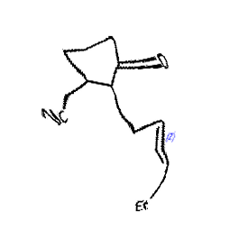 CC/C=C\CC1C(=O)CCC1C#N